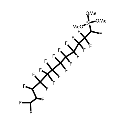 CO[Si](OC)(OC)C(F)C(F)(F)C(F)(F)C(F)(F)C(F)(F)C(F)(F)C(F)(F)C(F)(F)C(F)(F)C(F)C(F)C(F)F